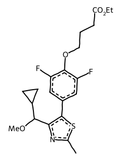 CCOC(=O)CCCOc1c(F)cc(-c2sc(C)nc2C(OC)C2CC2)cc1F